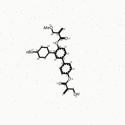 C=C(CO)C(=O)Oc1ccc(-c2ccc(OC(=O)C(=C)COC)c(C3CCC(CCCC)CC3)c2)cc1